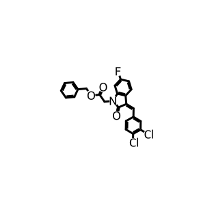 O=C(CN1C(=O)C(=Cc2ccc(Cl)c(Cl)c2)c2ccc(F)cc21)OCc1ccccc1